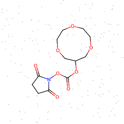 O=C(OC1COCCOCCOC1)ON1C(=O)CCC1=O